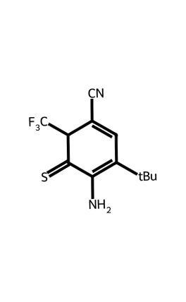 CC(C)(C)C1=C(N)C(=S)C(C(F)(F)F)C(C#N)=C1